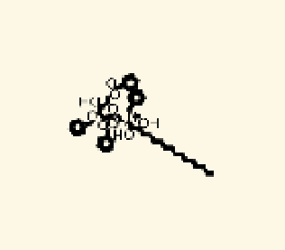 CCCCCCCCCCCCCC[C@@H](O)[C@@H](O)[C@H](CC[C@]1(OC)OC(COC(=O)c2ccccc2)[C@H](O)C(OCc2ccccc2)[C@@H]1OCc1ccccc1)N(C)Cc1ccccc1